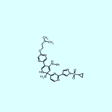 CC(C)NC1=CC(N)(c2ccnc(-c3cnn(S(=O)(=O)C4CC4)c3)n2)NC=C1c1cnc(OCCN(C)C)cn1